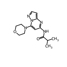 CC(C)C(=O)Nc1cc(N2CCOCC2)n2nccc2n1